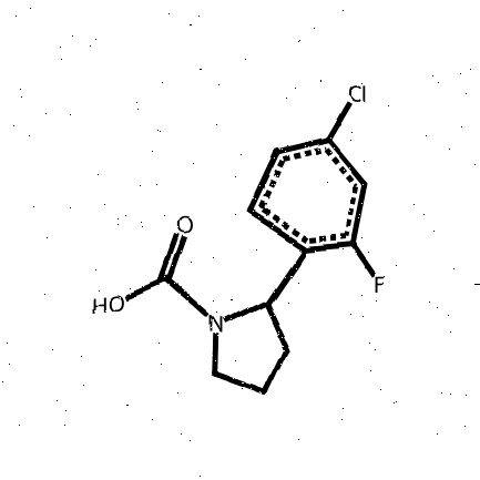 O=C(O)N1CCCC1c1ccc(Cl)cc1F